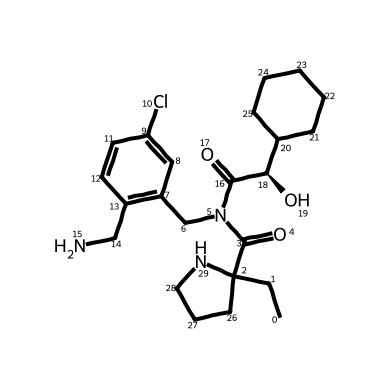 CCC1(C(=O)N(Cc2cc(Cl)ccc2CN)C(=O)[C@H](O)C2CCCCC2)CCCN1